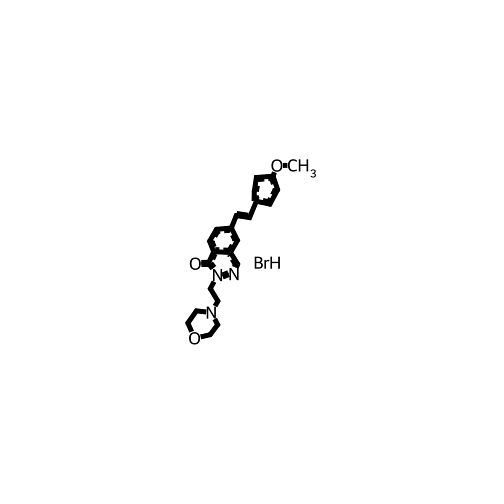 Br.COc1ccc(C=Cc2ccc3c(=O)n(CCN4CCOCC4)ncc3c2)cc1